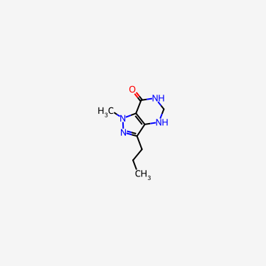 CCCc1nn(C)c2c1NCNC2=O